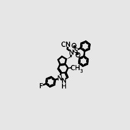 C[C@H]1C2=CNN(c3ccc(F)cc3)C2=CC2=C1[C@@H](CN(CC#N)S(=O)(=O)c1ccccc1-c1ccccc1)CC2